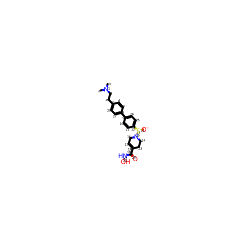 CN(C)CCc1ccc(-c2ccc([S+]([O-])N3CC=C(C(=O)NO)CC3)cc2)cc1